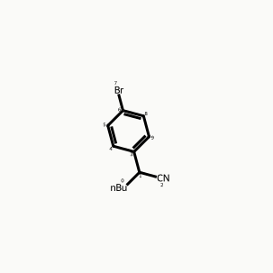 CCCCC(C#N)c1ccc(Br)cc1